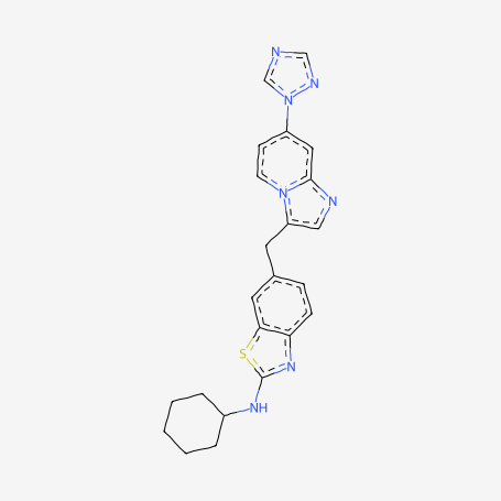 c1ncn(-c2ccn3c(Cc4ccc5nc(NC6CCCCC6)sc5c4)cnc3c2)n1